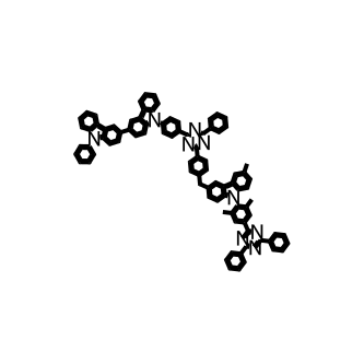 Cc1ccc2c(c1)c1cc(Cc3ccc(-c4nc(-c5ccccc5)nc(-c5ccc(-n6c7ccccc7c7cc(-c8ccc9c(c8)c8ccccc8n9-c8ccccc8)ccc76)cc5)n4)cc3)ccc1n2-c1c(C)cc(-c2nc(-c3ccccc3)nc(-c3ccccc3)n2)cc1C